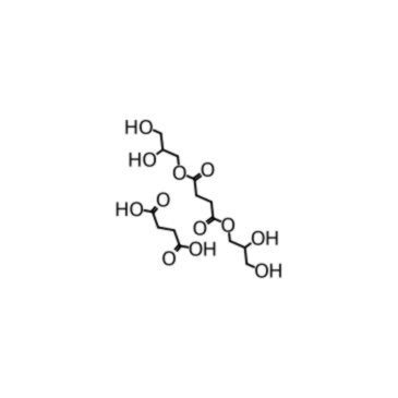 O=C(CCC(=O)OCC(O)CO)OCC(O)CO.O=C(O)CCC(=O)O